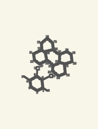 Cc1ccc(C)c(Cl)c1Cl.c1cc2cccc3c4cccc5cccc(c(c1)c23)c54